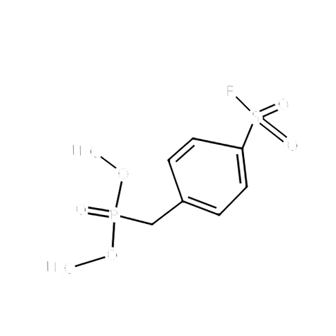 COP(=O)(Cc1ccc(S(=O)(=O)F)cc1)OC